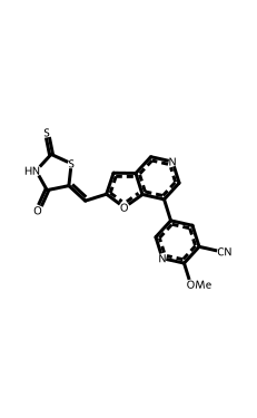 COc1ncc(-c2cncc3cc(/C=C4\SC(=S)NC4=O)oc23)cc1C#N